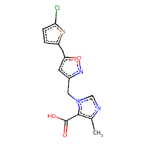 Cc1ncn(Cc2cc(-c3ccc(Cl)s3)on2)c1C(=O)O